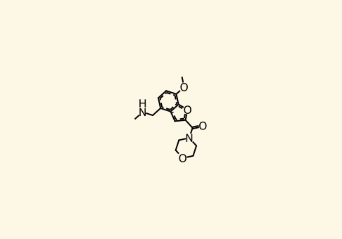 CNCc1ccc(OC)c2oc(C(=O)N3CCOCC3)cc12